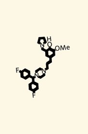 COc1cc(C=CCN2CCN(C(c3ccc(F)cc3)c3ccc(F)cc3)CC2)cc(CN2CCCC2)c1O